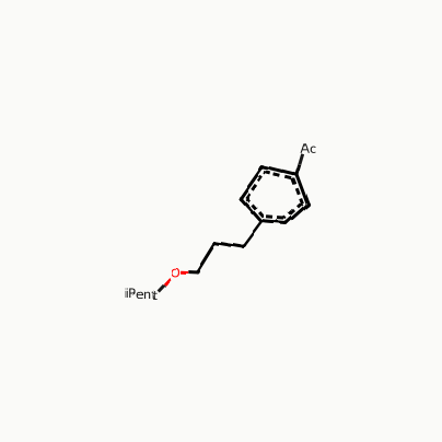 CCCC(C)OCCCc1ccc(C(C)=O)cc1